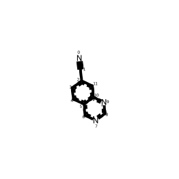 N#Cc1ccc2cncnc2c1